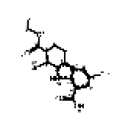 CCOC(=O)C1CCc2c([nH]c3c(C(=O)O)cc(F)cc23)C1Br